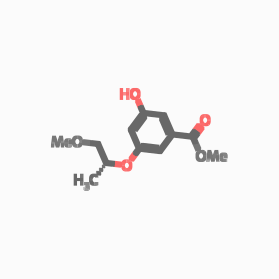 COC[C@@H](C)Oc1cc(O)cc(C(=O)OC)c1